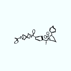 CC(=O)N1CC2(C1)CN(C(=O)c1ccc(C(C)N3CCCC(c4ccccc4)S3(=O)=O)cc1)C2